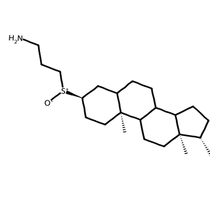 C[C@H]1CCC2C3CCC4C[C@H]([S+]([O-])CCCN)CC[C@]4(C)C3CC[C@@]21C